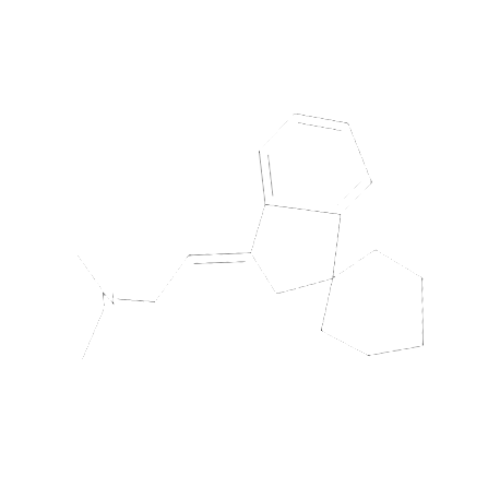 CN(C)CC=C1CC2(CCCCC2)c2ccccc21